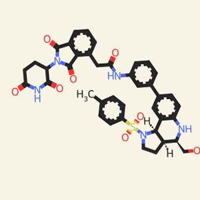 Cc1ccc(S(=O)(=O)N2CC[C@@H]3[C@H](CO)Nc4ccc(-c5cccc(NC(=O)Cc6cccc7c6C(=O)N(C6CCC(=O)NC6=O)C7=O)c5)cc4[C@@H]32)cc1